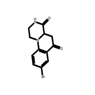 O=C1CC2C(=O)NCCN2c2ccc(Br)cc21